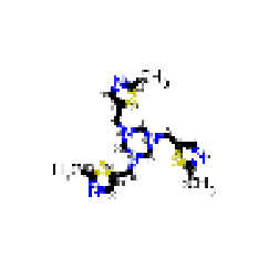 Cc1ncc(CN2CN(Cc3cnc(C)s3)CN(Cc3cnc(C)s3)C2)s1